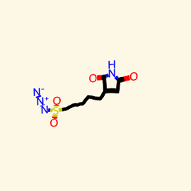 [N-]=[N+]=NS(=O)(=O)CCCCCC1=CC(=O)NC1=O